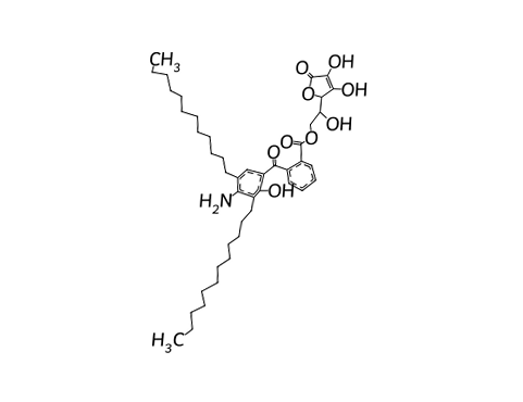 CCCCCCCCCCCCc1cc(C(=O)c2ccccc2C(=O)OCC(O)C2OC(=O)C(O)=C2O)c(O)c(CCCCCCCCCCCC)c1N